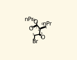 CCCC=C(C(=O)CBr)C(=O)OCCC